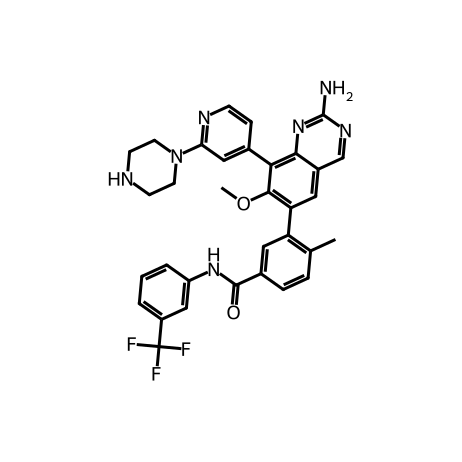 COc1c(-c2cc(C(=O)Nc3cccc(C(F)(F)F)c3)ccc2C)cc2cnc(N)nc2c1-c1ccnc(N2CCNCC2)c1